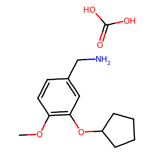 COc1ccc(CN)cc1OC1CCCC1.O=C(O)O